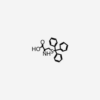 N=C(CSC(c1ccccc1)(c1ccccc1)c1ccccc1)C(=O)O